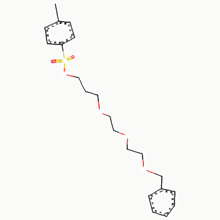 Cc1ccc(S(=O)(=O)OCCCOCCOCCOCc2ccccc2)cc1